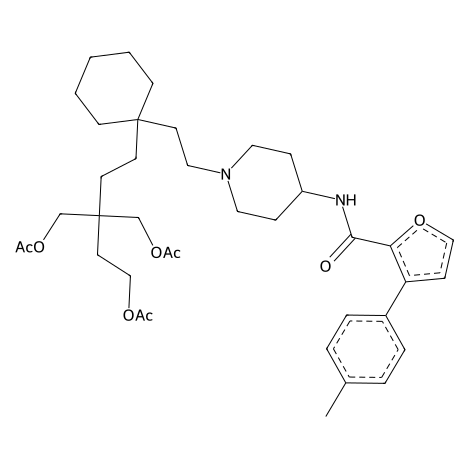 CC(=O)OCCC(CCC1(CCN2CCC(NC(=O)c3occc3-c3ccc(C)cc3)CC2)CCCCC1)(COC(C)=O)COC(C)=O